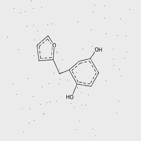 Oc1ccc(O)c(Cc2ccco2)c1